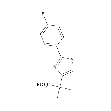 CCOC(=O)C(C)(C)c1csc(-c2ccc(F)cc2)n1